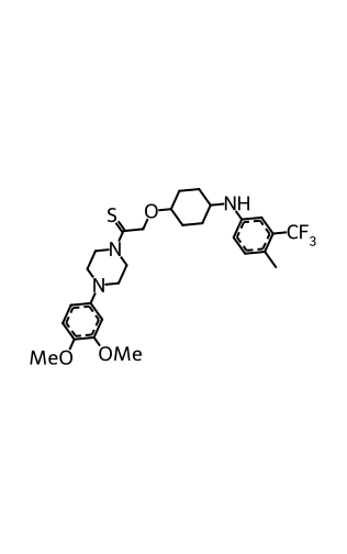 COc1ccc(N2CCN(C(=S)COC3CCC(Nc4ccc(C)c(C(F)(F)F)c4)CC3)CC2)cc1OC